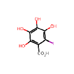 O=C(O)c1c(O)c(O)c(O)c(O)c1I